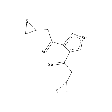 [Se]=C(CC1CS1)c1c[se]cc1C(=[Se])CC1CS1